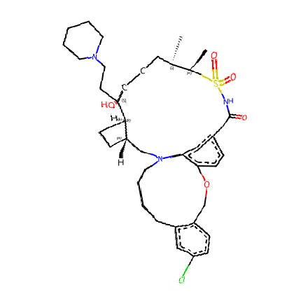 C[C@@H]1[C@@H](C)CCC[C@](O)(CCN2CCCCC2)[C@@H]2CC[C@H]2CN2CCCCc3cc(Cl)ccc3COc3ccc(cc32)C(=O)NS1(=O)=O